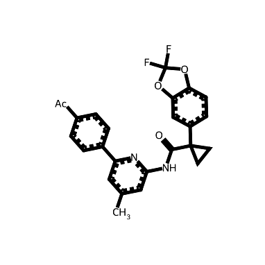 CC(=O)c1ccc(-c2cc(C)cc(NC(=O)C3(c4ccc5c(c4)OC(F)(F)O5)CC3)n2)cc1